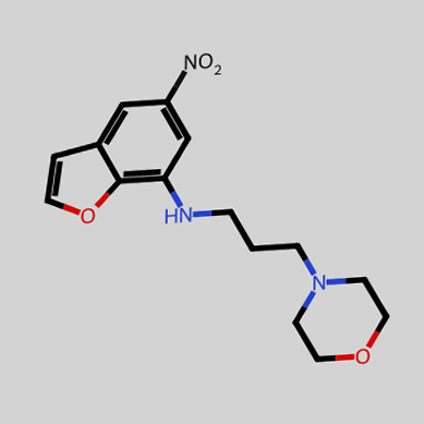 O=[N+]([O-])c1cc(NCCCN2CCOCC2)c2occc2c1